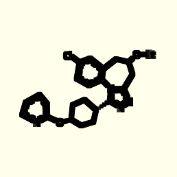 CCOC1Cc2cc(Cl)ccc2-n2c(nnc2[C@H]2CC[C@H](Oc3ccccn3)CC2)C1